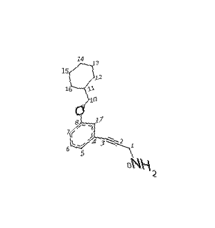 NCC#Cc1cccc(OCC2CCCCC2)c1